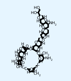 C=C1C[C@@H]2CC[C@]34OC5[C@@H]6O[C@H]7CC[C@H](CC(=O)O[C@@H]8CC9OC%10C[C@@]%11(C[C@@H]%12O[C@@]%13(CC[C@@H]%12O%11)C[C@H](N)[C@@H]%11O[C@@H]%12C[C@@H]([C@@H](O)CO)O[C@@H]%12C[C@@H]%11O%13)O[C@@H]%10C[C@@H]9O[C@H]8C[C@H]8O[C@@H](CC[C@@H]1O2)C[C@@H](N)C8=C)O[C@@H]7[C@H](O3)[C@@H]6OC5(O)[C@H]4O